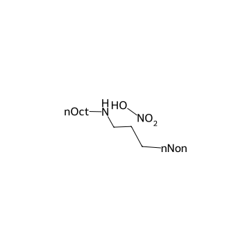 CCCCCCCCCCCCNCCCCCCCC.O=[N+]([O-])O